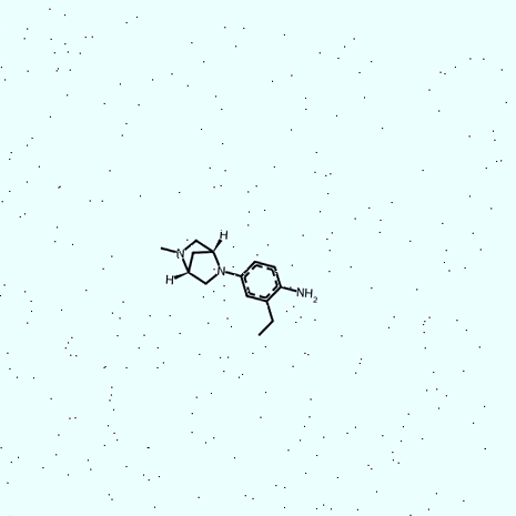 CCc1cc(N2C[C@H]3C[C@@H]2CN3C)ccc1N